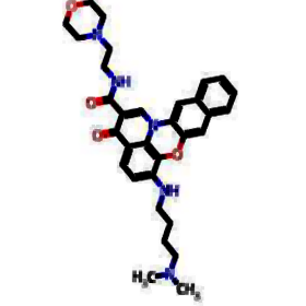 CN(C)CCCCNc1ccc2c(=O)c(C(=O)NCCN3CCOCC3)cn3c2c1Oc1cc2ccccc2cc1-3